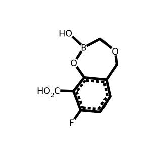 O=C(O)c1c(F)ccc2c1OB(O)COC2